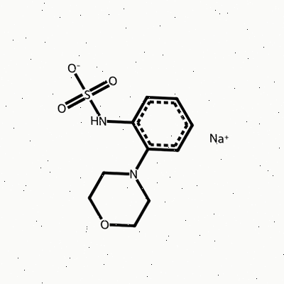 O=S(=O)([O-])Nc1ccccc1N1CCOCC1.[Na+]